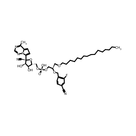 CCCCCCCCCCCCCCCCOC[C@H](COP(=O)(O)OC[C@H]1O[C@@](C#N)(c2ccc3c(C)ncnn23)[C@H](O)[C@@H]1O)OCc1ccc(C#N)cc1F